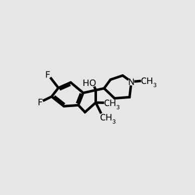 CN1CCC(C2(O)c3cc(F)c(F)cc3CC2(C)C)CC1